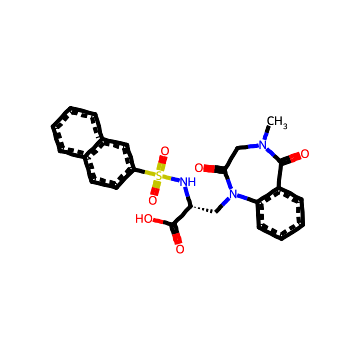 CN1CC(=O)N(C[C@@H](NS(=O)(=O)c2ccc3ccccc3c2)C(=O)O)c2ccccc2C1=O